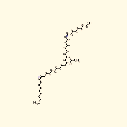 CCCCCCCC/C=C\CCCCCCCCCC(CCC)CCCCCCCC/C=C\CCCCCCCC